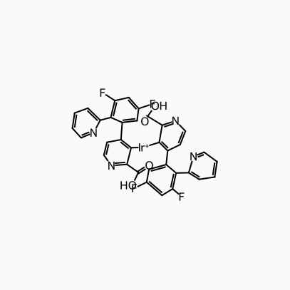 O=C(O)c1nccc(-c2cc(F)cc(F)c2-c2ccccn2)[c]1[Ir+][c]1c(-c2cc(F)cc(F)c2-c2ccccn2)ccnc1C(=O)O